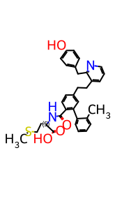 CSCC[C@H](NC(=O)c1ccc(CCc2cccnc2Cc2ccc(O)cc2)cc1-c1ccccc1C)C(=O)O